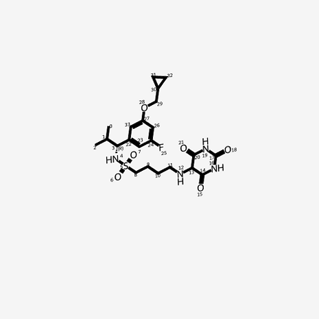 CC(C)[C@@H](NS(=O)(=O)CCCCNC1C(=O)NC(=O)NC1=O)c1cc(F)cc(OCC2CC2)c1